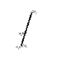 CCCCCC/C=C/CCCCCCCCCC(N)CCCCCCCCC(C)C